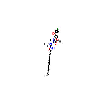 CCC=CCC=CCC=CCC=CCC=CCC=CCCC(=O)NCCN(C)CCNC(=O)C(C)(C)Oc1ccc(C(=O)c2ccc(Cl)cc2)cc1